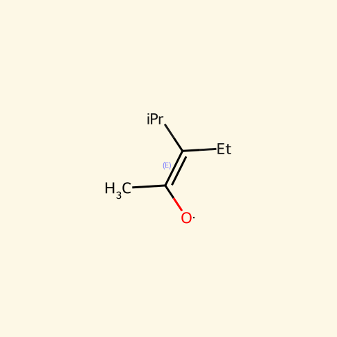 CC/C(=C(/C)[O])C(C)C